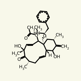 C=C1C(O)[C@@H]2/C=C/C[C@H](C)C(=O)[C@](C)(O)/C=C/C(OC(C)=O)[C@@]2(C=O)[C@H]([C@H](Cc2ccccc2)NC)[C@@H]1C